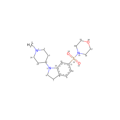 CN1CCC(N2CCc3ccc(S(=O)(=O)N4CCOCC4)cc32)CC1